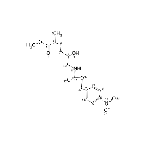 COC(=O)C(C)CCC(O)CNC(=O)OCc1ccc([N+](=O)[O-])cc1